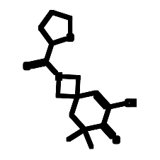 CC1(C)CC2(C=C(C#N)C1=O)CN(C(=O)C1CCCO1)C2